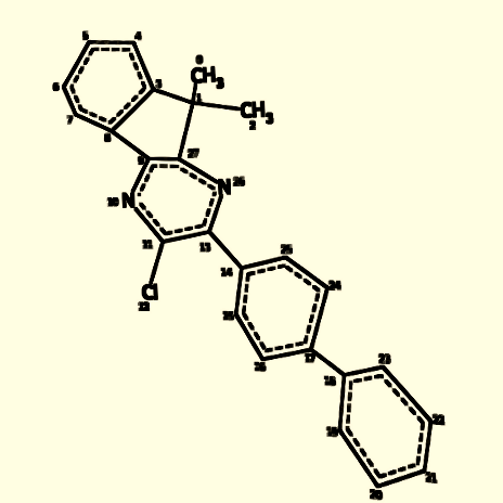 CC1(C)c2ccccc2-c2nc(Cl)c(-c3ccc(-c4ccccc4)cc3)nc21